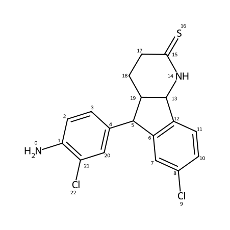 Nc1ccc(C2c3cc(Cl)ccc3C3NC(=S)CCC32)cc1Cl